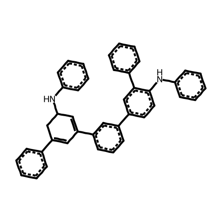 C1=C(c2cccc(-c3ccc(Nc4ccccc4)c(-c4ccccc4)c3)c2)C=C(c2ccccc2)CC1Nc1ccccc1